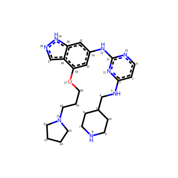 c1cc(NCC2CCNCC2)nc(Nc2cc(OCCCN3CCCC3)c3cn[nH]c3c2)n1